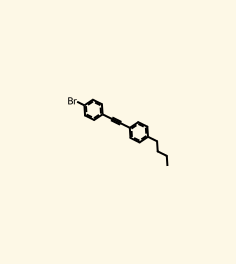 CCCCc1ccc(C#Cc2ccc(Br)cc2)cc1